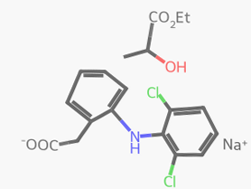 CCOC(=O)C(C)O.O=C([O-])Cc1ccccc1Nc1c(Cl)cccc1Cl.[Na+]